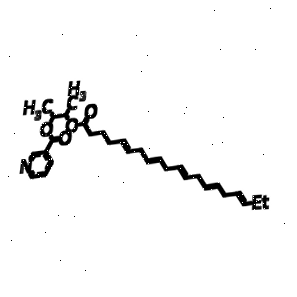 CCC=CCC=CCC=CCC=CCC=CCCCC(=O)OC(C)C(C)OC(=O)c1cccnc1